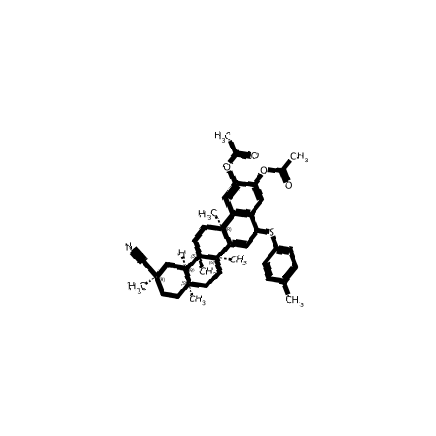 CC(=O)Oc1cc2c(cc1OC(C)=O)[C@]1(C)CC[C@@]3(C)[C@@H]4C[C@](C)(C#N)CC[C@]4(C)CC[C@]3(C)C1=CC2Sc1ccc(C)cc1